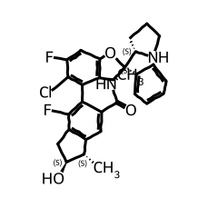 CNC(=O)c1cc2c(c(F)c1-c1c(Cl)c(F)cc3c1C[C@](c1ccccc1)([C@@H]1CCCN1)O3)C[C@H](O)[C@H]2C